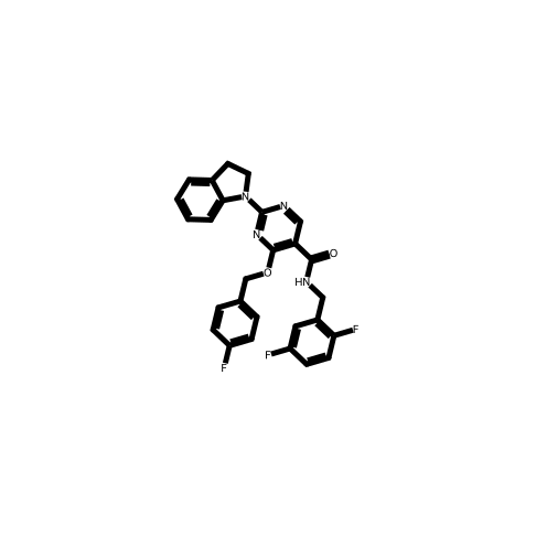 O=C(NCc1cc(F)ccc1F)c1cnc(N2CCc3ccccc32)nc1OCc1ccc(F)cc1